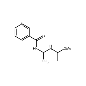 COC(C)NC(NC(=O)c1cccnc1)C(Cl)(Cl)Cl